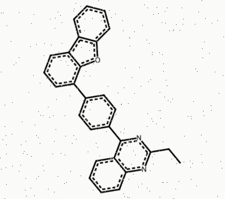 CCc1nc(-c2ccc(-c3cccc4c3oc3ccccc34)cc2)c2ccccc2n1